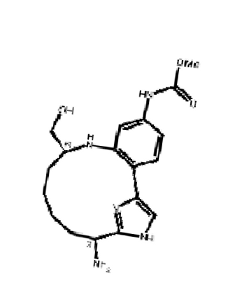 COC(=O)Nc1ccc2c(c1)N[C@H](CO)CCCC[C@H](N)c1nc-2c[nH]1